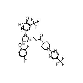 O=C(CC[C@@H]1C[C@H](Oc2ccc(F)cc2F)CN1c1cc(C(F)(F)F)c(=O)[nH]n1)N1CCN(c2ncc(C(F)(F)F)cn2)CC1